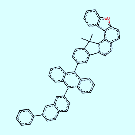 CC1(C)c2ccc(-c3c4ccccc4c(-c4ccc5ccc(-c6ccccc6)cc5c4)c4ccccc34)cc2-c2ccc3ccc4oc5ccccc5c4c3c21